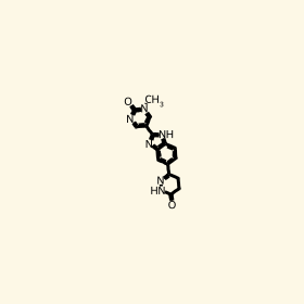 Cn1cc(-c2nc3cc(C4=NNC(=O)CC4)ccc3[nH]2)cnc1=O